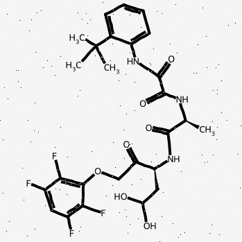 C[C@H](NC(=O)C(=O)Nc1ccccc1C(C)(C)C)C(=O)N[C@@H](CC(O)O)C(=O)COc1c(F)c(F)cc(F)c1F